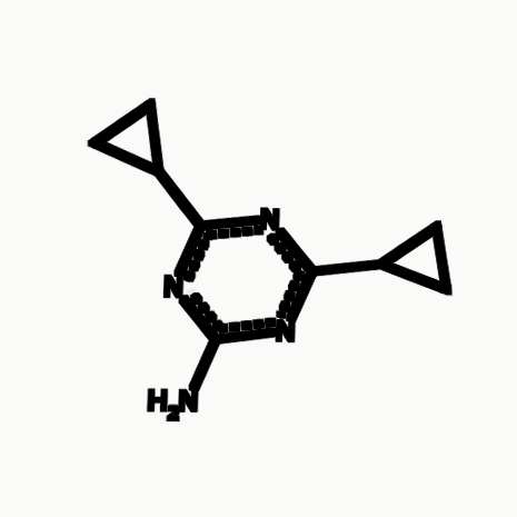 Nc1nc(C2CC2)nc(C2CC2)n1